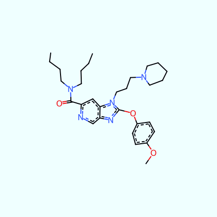 CCCCN(CCCC)C(=O)c1cc2c(cn1)nc(Oc1ccc(OC)cc1)n2CCCN1CCCCC1